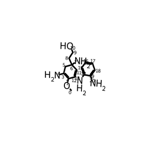 COC1=C(N)CC(N)(CCO)C=C1.Nc1ccccc1N